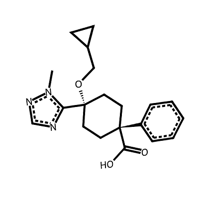 Cn1ncnc1[C@]1(OCC2CC2)CC[C@](C(=O)O)(c2ccccc2)CC1